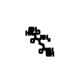 N[C@@H](CCC(=O)NO)C(=O)C(=O)NO